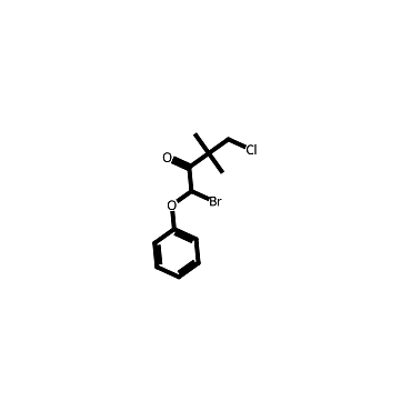 CC(C)(CCl)C(=O)C(Br)Oc1ccccc1